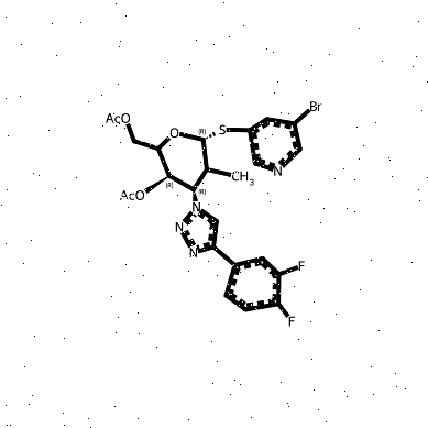 CC(=O)OCC1O[C@H](Sc2cncc(Br)c2)C(C)[C@@H](n2cc(-c3ccc(F)c(F)c3)nn2)[C@H]1OC(C)=O